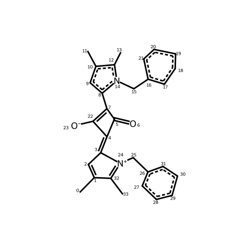 CC1=C/C(=C2/C(=O)C(c3cc(C)c(C)n3Cc3ccccc3)=C2[O-])[N+](Cc2ccccc2)=C1C